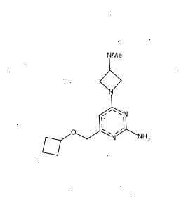 CNC1CN(c2cc(COC3CCC3)nc(N)n2)C1